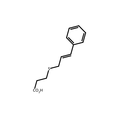 O=C(O)CCSC/C=C/c1ccccc1